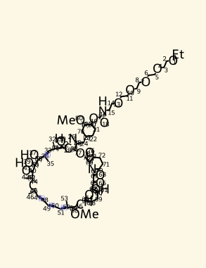 CCOCCOCCOCCOCCOCCNC(=O)O[C@@H]1CC[C@@H](C[C@@H](N)[C@@H]2CC(=O)[C@H](C)/C=C(\C)[C@@H](O)[C@@H](O)C(=O)[C@H](C)C[C@H](C)/C=C/C=C/C=C(\C)[C@@H](OC)C[C@@H]3CC[C@@H](C)[C@@](O)(O3)C(=O)C(=O)N3CCCC[C@H]3C(=O)O2)C[C@H]1OC